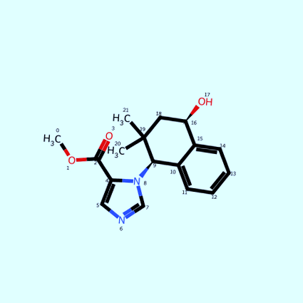 COC(=O)c1cncn1[C@@H]1c2ccccc2[C@H](O)CC1(C)C